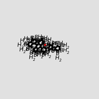 Bc1c(B)c(B)c2c(oc3c4oc5c(B)c(B)c(-c6c7c(B)c(B)c(B)c(B)c7c7c8c(c(B)c(B)c(B)c68)Bc6c(B)c(B)c(B)c8c(B)c(B)c(B)c-7c68)c(B)c5c4c(B)c(B)c32)c1B